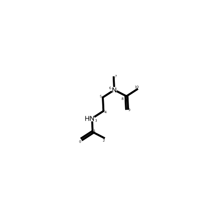 C=C(C)NCCN(C)C(=C)C